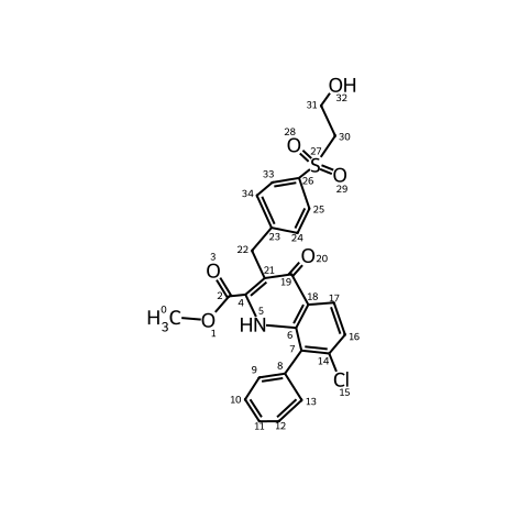 COC(=O)c1[nH]c2c(-c3ccccc3)c(Cl)ccc2c(=O)c1Cc1ccc(S(=O)(=O)CCO)cc1